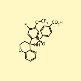 O=C(O)c1ccc(S(=O)(=O)N[C@]2(c3ccc(OC(F)(F)F)c(F)c3)CCOc3cccnc32)cc1